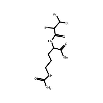 CCC(C(C)C)C(C(=O)NC(CCCNC(N)=O)C(=O)C(C)(C)C)C(C)C